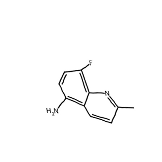 Cc1ccc2c(N)ccc(F)c2n1